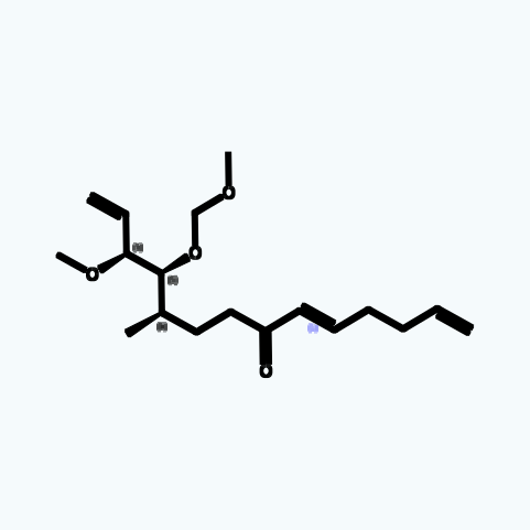 C=CCC/C=C/C(=O)CC[C@@H](C)[C@H](OCOC)[C@H](C=C)OC